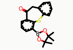 CC1(C)OB(c2cccc3c2Sc2ccccc2CC3=O)OC1(C)C